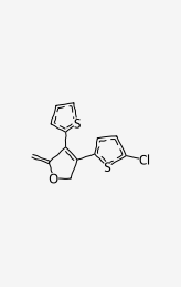 C=C1OCC(c2ccc(Cl)s2)=C1c1cccs1